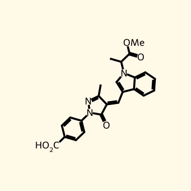 COC(=O)C(C)n1cc(C=C2C(=O)N(c3ccc(C(=O)O)cc3)N=C2C)c2ccccc21